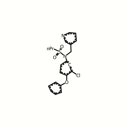 CCCS(=O)(=O)N(Cc1cccnc1)c1ccc(Oc2ccccc2)c(Cl)c1